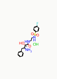 Cl.N[C@@H](Cc1ccccc1)[C@@H](O)C(=O)NCCNS(=O)(=O)c1ccc(F)cc1